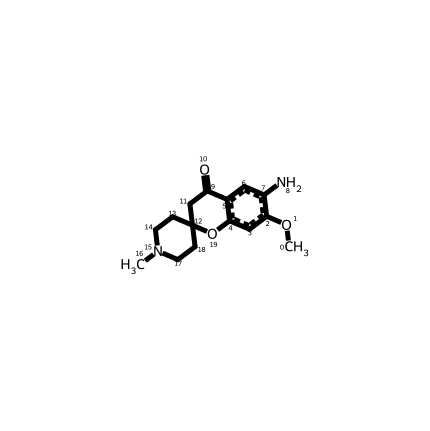 COc1cc2c(cc1N)C(=O)CC1(CCN(C)CC1)O2